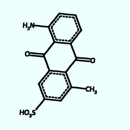 Cc1cc(S(=O)(=O)O)cc2c1C(=O)c1cccc(N)c1C2=O